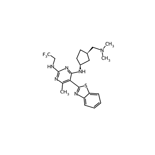 Cc1nc(NCC(F)(F)F)nc(N[C@H]2CC[C@@H](CN(C)C)C2)c1-c1nc2ccccc2s1